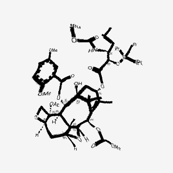 COC(=O)O[C@@H]1C2=C(C)[C@@H](OC(=O)[C@H](O[Si](C(C)C)(C(C)C)C(C)C)[C@H](C=C(C)C)NC(=O)OC(C)(C)C)C[C@@](O)([C@@H](OC(=O)c3cc(OC)ccc3OC)[C@@H]3[C@]4(OC(C)=O)CO[C@@H]4C[C@H]4O[C@@H]1[C@@]34C)C2(C)C